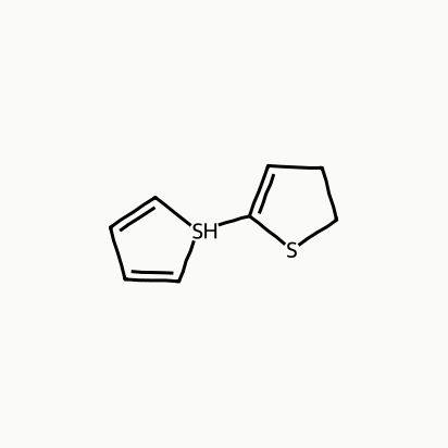 C1=C[SH](C2=CCCS2)C=C1